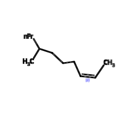 C/C=C\CCCC(C)CCC